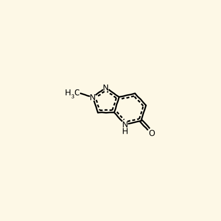 Cn1cc2[nH]c(=O)ccc2n1